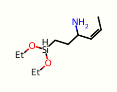 C/C=C\C(N)CC[SiH](OCC)OCC